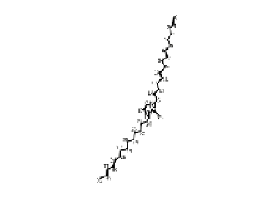 CCCCCCCCCCCCCCCC[n+]1ccn(CCCCCCCCCCCCCC)c1C